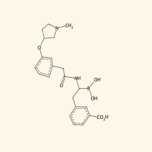 CN1CCC(Oc2cccc(CC(=O)NC(Cc3cccc(C(=O)O)c3)B(O)O)c2)C1